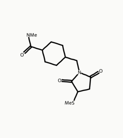 CNC(=O)C1CCC(CN2C(=O)CC(SC)C2=O)CC1